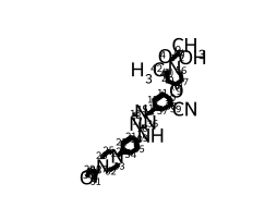 C[C@H](O)C(=O)N1CC[C@H](Oc2ccc(-c3ncnc(Nc4ccc(N5CCN(C6COC6)CC5)cc4)n3)cc2C#N)C[C@H]1C